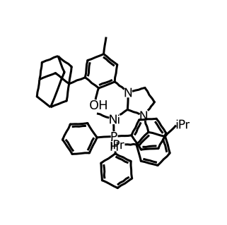 Cc1cc(N2CCN(c3c(C(C)C)cccc3C(C)C)[CH]2[Ni]([CH3])[PH](c2ccccc2)(c2ccccc2)c2ccccc2)c(O)c(C23CC4CC(CC(C4)C2)C3)c1